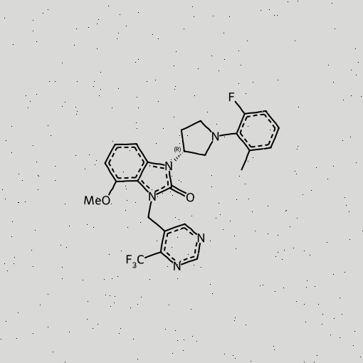 COc1cccc2c1n(Cc1cncnc1C(F)(F)F)c(=O)n2[C@@H]1CCN(c2c(C)cccc2F)C1